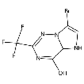 OC1=NC(C(F)(F)F)=NN2C(Br)=CNC12